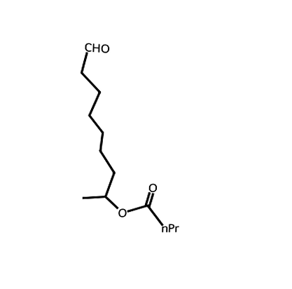 CCCC(=O)OC(C)CCCCCCC=O